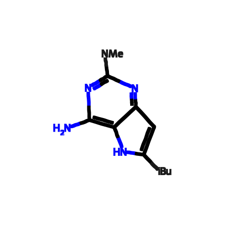 CCC(C)c1cc2nc(NC)nc(N)c2[nH]1